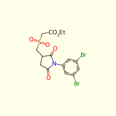 CCOC(=O)CS(=O)(=O)CC1CC(=O)N(c2cc(Br)cc(Br)c2)C1=O